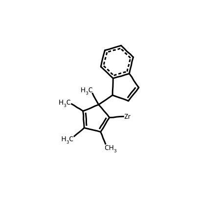 CC1=C(C)C(C)(C2C=Cc3ccccc32)[C]([Zr])=C1C